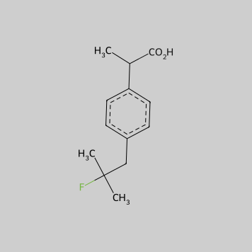 CC(C(=O)O)c1ccc(CC(C)(C)F)cc1